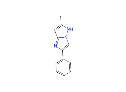 Cc1cc2nc(-c3ccccc3)cn2[nH]1